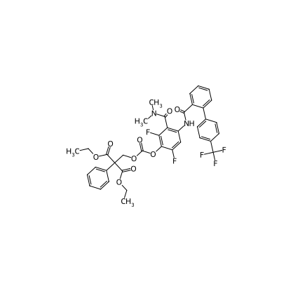 CCOC(=O)C(COC(=O)Oc1c(F)cc(NC(=O)c2ccccc2-c2ccc(C(F)(F)F)cc2)c(C(=O)N(C)C)c1F)(C(=O)OCC)c1ccccc1